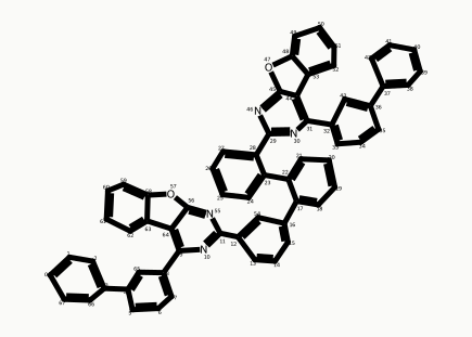 c1ccc(-c2cccc(-c3nc(-c4cccc(-c5ccccc5-c5ccccc5-c5nc(-c6cccc(-c7ccccc7)c6)c6c(n5)oc5ccccc56)c4)nc4oc5ccccc5c34)c2)cc1